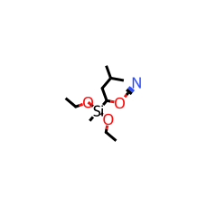 CCO[Si](C)(OCC)C(CC(C)C)OC#N